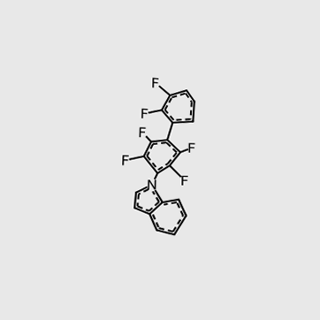 Fc1cccc(-c2c(F)c(F)c(-n3ccc4ccccc43)c(F)c2F)c1F